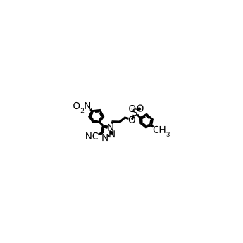 Cc1ccc(S(=O)(=O)OCCCn2nnc(C#N)c2-c2ccc([N+](=O)[O-])cc2)cc1